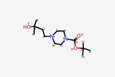 CC(C)(O)CCN1CCN(C(=O)OC(C)(C)C)CC1